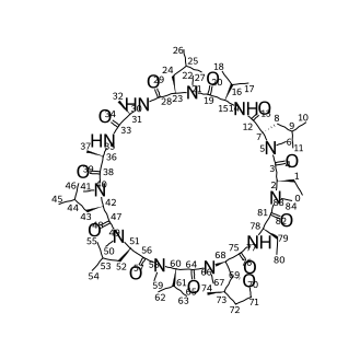 CC[C@@H]1C(=O)N(C)[C@@H](CC(C)C)C(=O)N[C@H](C(C)C)C(=O)N(C)[C@H](CC(C)C)C(=O)N[C@H](C)C(=O)N[C@H](C)C(=O)N(C)[C@H](CC(C)C)C(=O)N(C)[C@H](CC(C)C)C(=O)N(C)[C@H](C(C)C)C(=O)N(C)[C@H]([C@@H]2OCC[C@H]2C)C(=O)N[C@H](CC)C(=O)N1C